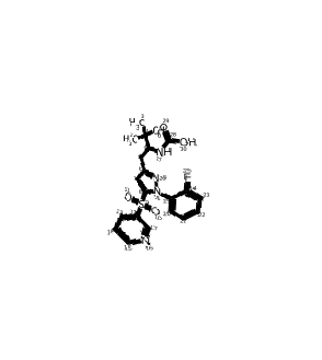 CC(C)(C)C(Cc1cc(S(=O)(=O)c2cccnc2)n(-c2ccccc2F)n1)NC(=O)O